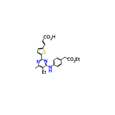 CCOC(=O)Cc1ccc(Nc2nc(-c3ccc(/C=C/C(=O)O)s3)nc(C)c2CC)cc1